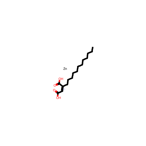 CCCCCCCCCCCC/C(=C/C(=O)O)C(=O)O.[Zn]